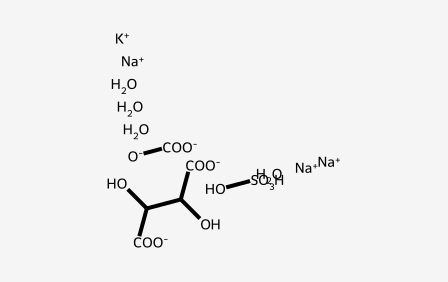 O.O.O.O.O=C([O-])C(O)C(O)C(=O)[O-].O=C([O-])[O-].O=S(=O)(O)O.[K+].[Na+].[Na+].[Na+]